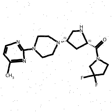 Cc1ccnc(N2CCN([C@@H]3CN[C@H](C(=O)N4CCC(F)(F)C4)C3)CC2)n1